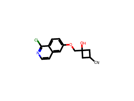 N#CC1CC(O)(COc2ccc3c(Cl)nccc3c2)C1